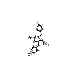 CC(C)N1CN(Cc2ccc(Cl)nc2)C(=N[N+](=O)[O-])N(Cc2ccc(Cl)nc2)C1